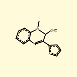 CN1c2ccccc2N=C(c2cccs2)C1C=O